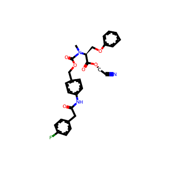 CN(C(=O)OCc1ccc(NC(=O)Cc2ccc(F)cc2)cc1)[C@@H](COc1ccccc1)C(=O)OCC#N